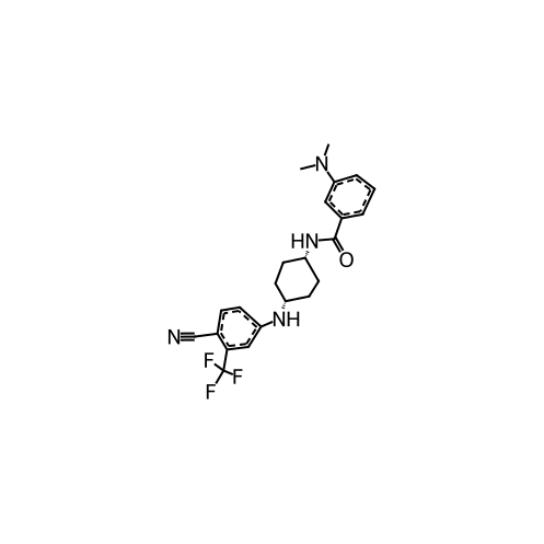 CN(C)c1cccc(C(=O)N[C@H]2CC[C@@H](Nc3ccc(C#N)c(C(F)(F)F)c3)CC2)c1